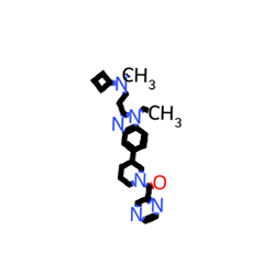 CCn1c(CCN(C)C2CCC2)nc2cc(C3CCCN(C(=O)c4cnccn4)C3)ccc21